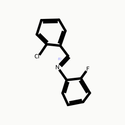 Fc1ccccc1/N=C/c1ccccc1Cl